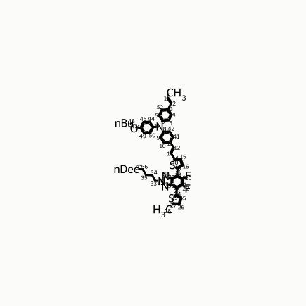 C/C=C/c1ccc(N(c2ccc(/C=C/c3ccc(-c4c(F)c(F)c(-c5ccc(C)s5)c5nn(CCCCCCCCCCCCCC)nc45)s3)cc2)c2ccc(OCCCC)cc2)cc1